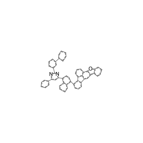 c1ccc(-c2cccc(-c3nc(-c4ccccc4)cc(-c4ccc(-c5cccc6c5-c5cccc7c5c-6cc5c6ccccc6oc75)c5ccccc45)n3)c2)cc1